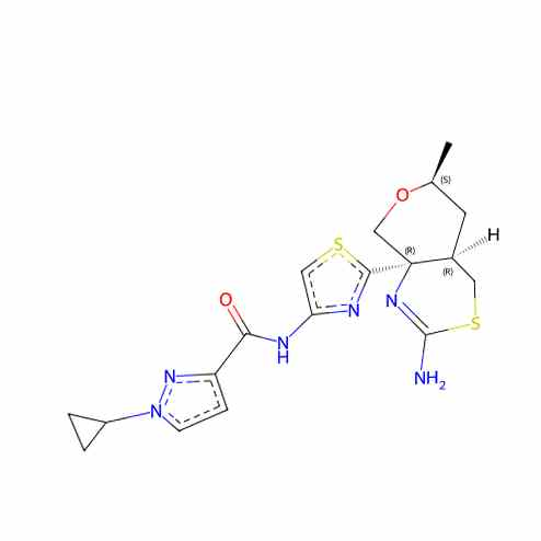 C[C@H]1C[C@H]2CSC(N)=N[C@@]2(c2nc(NC(=O)c3ccn(C4CC4)n3)cs2)CO1